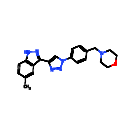 Cc1ccc2[nH]nc(-c3cn(-c4ccc(CN5CCOCC5)cc4)nn3)c2c1